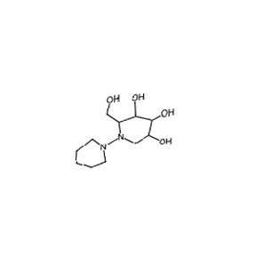 OCC1C(O)C(O)C(O)CN1N1CCCCC1